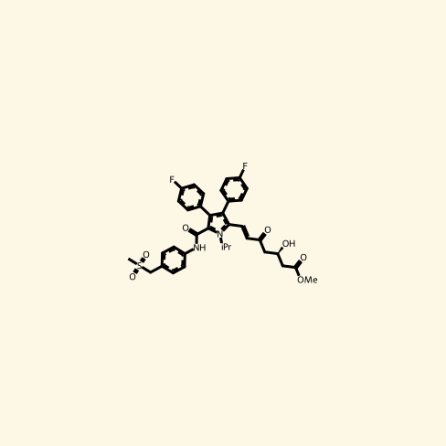 COC(=O)C[C@H](O)CC(=O)/C=C/c1c(-c2ccc(F)cc2)c(-c2ccc(F)cc2)c(C(=O)Nc2ccc(CS(C)(=O)=O)cc2)n1C(C)C